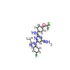 CC(C)c1nc2cc(F)ccc2n1-c1cc(N)nc(Nc2ccc(OC(F)F)cc2)n1